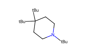 CC(C)(C)N1CCC(C(C)(C)C)(C(C)(C)C)CC1